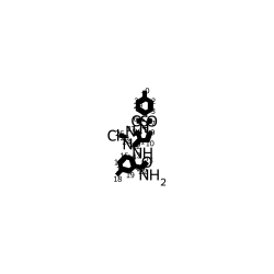 Cc1ccc(S(=O)(=O)n2ccc3c(Nc4ccc(C)cc4C(N)=O)nc(Cl)nc32)cc1